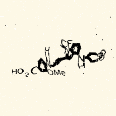 COc1cc(C(=O)O)ccc1NCC#Cc1cc2c(NC3CCS(=O)(=O)CC3)cccc2n1CC(F)(F)F